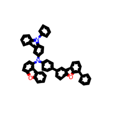 c1ccc(-c2cccc3c2oc2ccc(-c4ccc(N(c5ccc6c(c5)c5ccccc5n6-c5ccccc5)c5cccc6oc7ccccc7c56)cc4)cc23)cc1